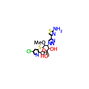 COC1C(n2cc(-c3csc(N)n3)nn2)[C@@H](O)C(CO)O[C@@H]1Sc1cc(Cl)cnc1C